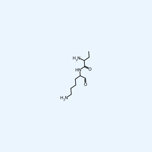 CCC(N)C(=O)NC(C=O)CCCCN